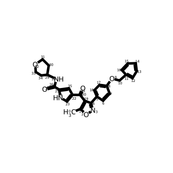 Cc1onc(-c2ccc(OCc3ccccc3)cc2)c1C(=O)c1c[nH]c(C(=O)NC2CCOCC2)c1